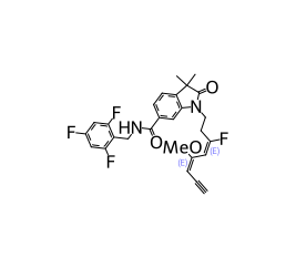 C#C/C=C(\C=C(\F)CCN1C(=O)C(C)(C)c2ccc(C(=O)NCc3c(F)cc(F)cc3F)cc21)OC